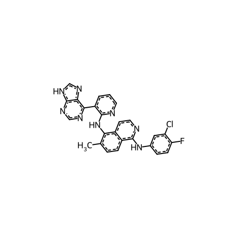 Cc1ccc2c(Nc3ccc(F)c(Cl)c3)nccc2c1Nc1ncccc1-c1ncnc2[nH]cnc12